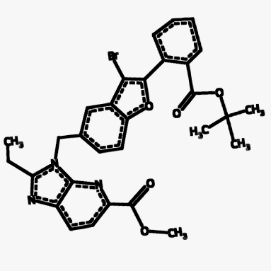 CCc1nc2ccc(C(=O)OC)nc2n1Cc1ccc2oc(-c3ccccc3C(=O)OC(C)(C)C)c(Br)c2c1